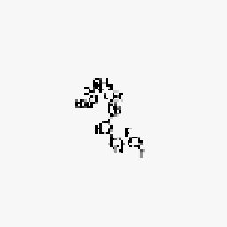 CCC(CCN(C)C(=O)OC(C)(C)C)n1cc(-c2cncc(-c3ccnc(-c4cc(F)ccc4F)c3)c2)cn1